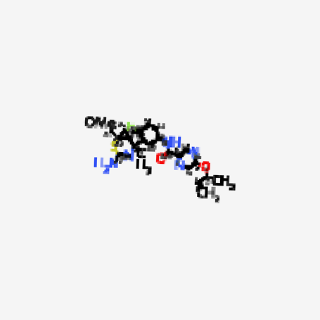 C=C[C@H](C)Oc1cnc(C(=O)Nc2ccc(F)c([C@@]3(C)N=C(N)S[C@@]4(COC)C[C@H]43)c2)cn1